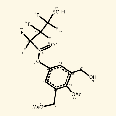 COCc1cc(OS(=O)C(F)(F)C(F)(F)C(F)(F)S(=O)(=O)O)cc(CO)c1OC(C)=O